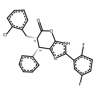 O=C1Oc2[nH]c(-c3cc(F)ccc3F)nc2[C@H](c2ccccc2)[C@@H]1Cc1ccccc1Cl